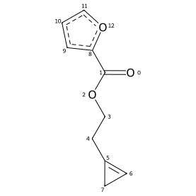 O=C(OCCC1=CC1)c1ccco1